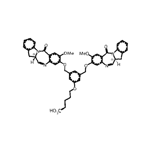 COc1cc2c(cc1OCc1cc(COc3cc4c(cc3OC)C(=O)N3c5ccccc5C[C@H]3C=N4)cc(OCCCCC(=O)O)c1)N=C[C@@H]1Cc3ccccc3N1C2=O